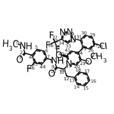 CNC(=O)c1ccc(NC(=O)[C@H](Cc2ccccc2)n2cc(OC)c(-c3cc(Cl)ccc3-n3cc(C(F)(F)F)nn3)cc2=O)cc1F